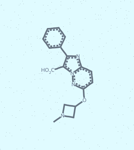 CN1CC(Oc2ccc3nc(-c4ccccc4)c(C(=O)O)n3n2)C1